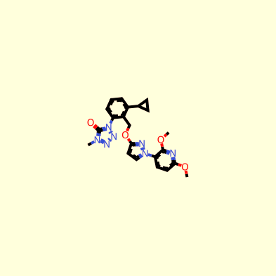 COc1ccc(-n2ccc(OCc3c(C4CC4)cccc3-n3nnn(C)c3=O)n2)c(OC)n1